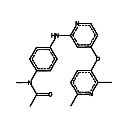 CC(=O)N(C)c1ccc(Nc2cc(Oc3ccc(C)nc3C)ccn2)cc1